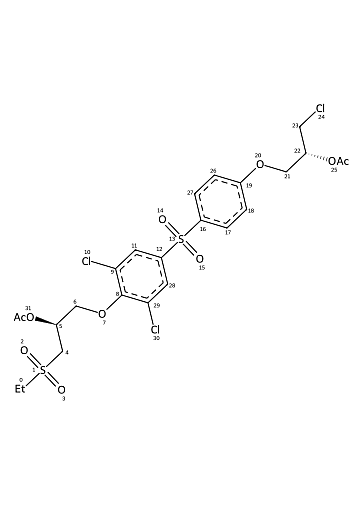 CCS(=O)(=O)C[C@H](COc1c(Cl)cc(S(=O)(=O)c2ccc(OC[C@H](CCl)OC(C)=O)cc2)cc1Cl)OC(C)=O